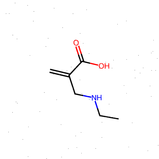 C=C(CNCC)C(=O)O